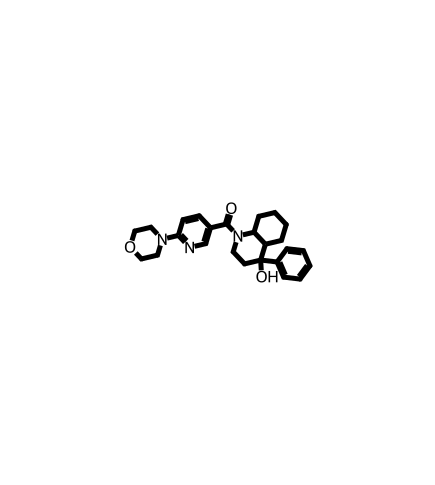 O=C(c1ccc(N2CCOCC2)nc1)N1CCC(O)(c2ccccc2)C2CCCCC21